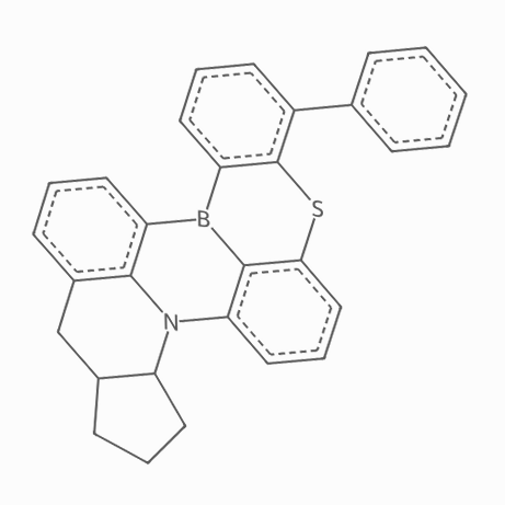 c1ccc(-c2cccc3c2Sc2cccc4c2B3c2cccc3c2N4C2CCCC2C3)cc1